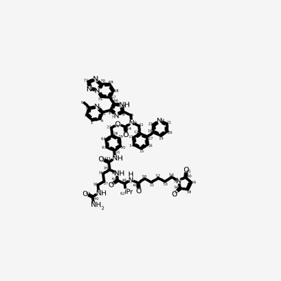 Cc1cccc(-c2nc(CN(Cc3ccccc3-c3cccnc3)C(=O)OCc3ccc(NC(=O)C(CCCNC(N)=O)NC(=O)C(NC(=O)CCCCCN4C(=O)C=CC4=O)C(C)C)cc3)[nH]c2-c2ccc3ncnn3c2)n1